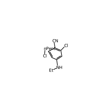 CCCCCCl.CCNc1ccc(C#N)c(Cl)c1